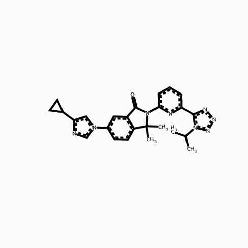 CC(C)n1nnnc1-c1cccc(N2C(=O)c3cc(-n4cnc(C5CC5)c4)ccc3C2(C)C)n1